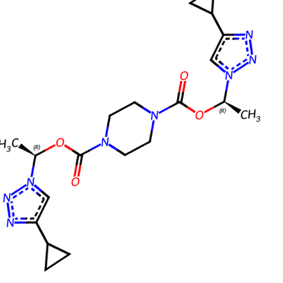 C[C@@H](OC(=O)N1CCN(C(=O)O[C@H](C)n2cc(C3CC3)nn2)CC1)n1cc(C2CC2)nn1